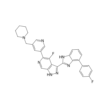 Fc1ccc(-c2cccc3[nH]c(-c4n[nH]c5cnc(-c6cncc(CN7CCCCC7)c6)c(F)c45)nc23)cc1